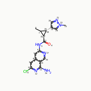 CC1[C@H](C(=O)Nc2cc3cc(Cl)nc(N)c3cn2)[C@H]1c1cnn(C)c1